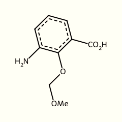 COCOc1c(N)cccc1C(=O)O